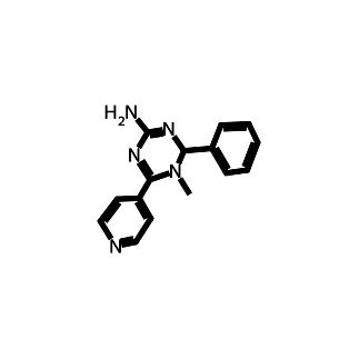 CN1C(c2ccncc2)=NC(N)=NC1c1ccccc1